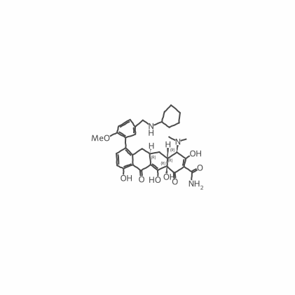 COc1ccc(CNC2CCCCC2)cc1-c1ccc(O)c2c1C[C@H]1C[C@@H]3[C@@H](N(C)C)C(O)=C(C(N)=O)C(=O)[C@]3(O)C(O)=C1C2=O